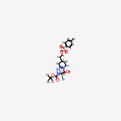 Cc1ccc(S(=O)(=O)OCCC2CCN(C(=O)[C@@H](C)NC(=O)OC(C)(C)C)CC2)cc1